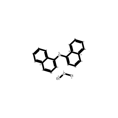 CCOCC.c1ccc2c(Oc3cccc4ccccc34)cccc2c1